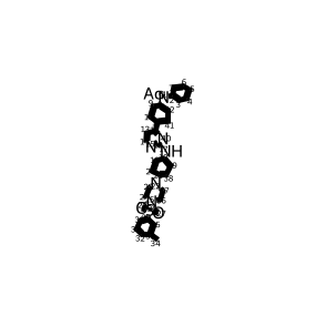 CC(=O)N(c1ccccc1)c1ccc(-c2ccnc(Nc3ccc(N4CCN(S(=O)(=O)c5cccc(C)c5)CC4)cc3)n2)cc1